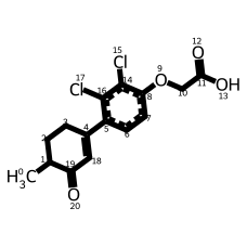 CC1CCC(c2ccc(OCC(=O)O)c(Cl)c2Cl)=CC1=O